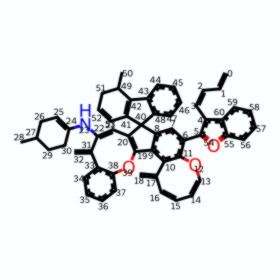 C=C/C=C\c1c(-c2cc3c(c4c2O/C=C\C=C/C4=C)C2=C(/C=C(/NC4=CCC(C)CC4)C(=C)c4ccccc4O2)C32C3=C(c4ccccc42)C(C)CC=C3)oc2ccccc12